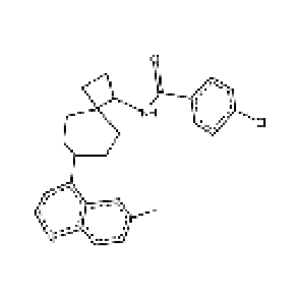 O=C(NC1CCC12CCC(c1ccnc3ccc(F)cc13)CC2)c1ccc(Cl)cc1